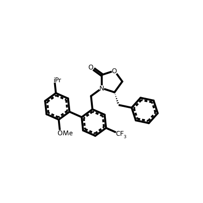 COc1ccc(C(C)C)cc1-c1ccc(C(F)(F)F)cc1CN1C(=O)OC[C@@H]1Cc1ccccc1